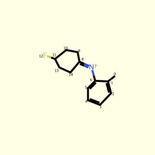 Cc1ccccc1N=C1CCC(F)CC1